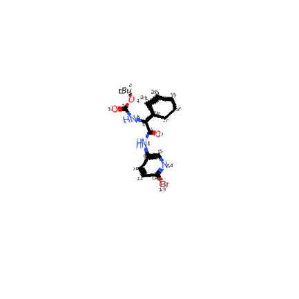 CC(C)(C)OC(=O)NC(C(=O)Nc1ccc(Br)nc1)C1CCCCC1